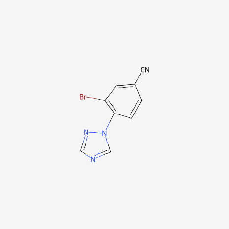 N#Cc1ccc(-n2cncn2)c(Br)c1